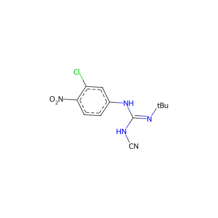 CC(C)(C)/N=C(/NC#N)Nc1ccc([N+](=O)[O-])c(Cl)c1